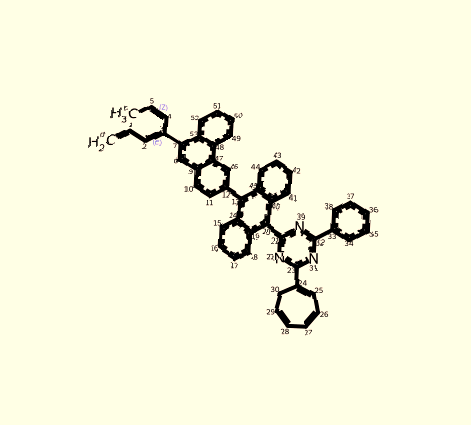 C=C/C=C(\C=C/C)c1cc2ccc(-c3c4ccccc4c(-c4nc(C5=CC=CC=CC5)nc(-c5ccccc5)n4)c4ccccc34)cc2c2ccccc12